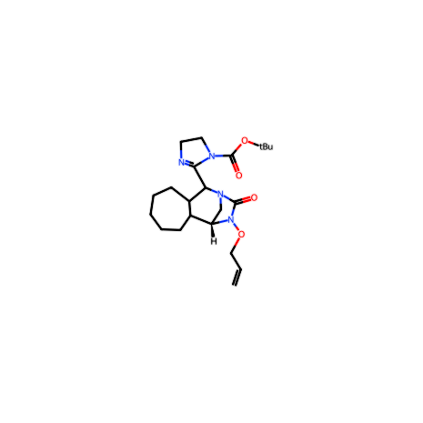 C=CCON1C(=O)N2C[C@H]1C1CCCCCC1C2C1=NCCN1C(=O)OC(C)(C)C